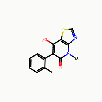 CCn1c(=O)c(-c2ccccc2C)c(O)c2scnc21